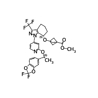 COC(=O)C12CC(O[C@H]3CCCc4c(C(F)(F)F)nn(-c5ccnc(O[C@@H](C)c6ccc7c(c6)OC(F)(F)O7)c5)c43)(C1)C2